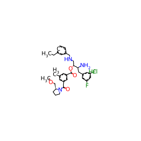 CCc1cccc(CNCC(OC(=O)c2cc(C)cc(C(=O)N3CCC[C@H]3COC)c2)C(N)Cc2cc(F)cc(F)c2)c1.Cl